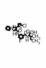 CCC(C)[C@H](NC(=O)c1cc(F)cc(NC(=O)c2cn(-c3ccccc3)nc2-c2ccc(Cl)s2)c1)C(=O)O